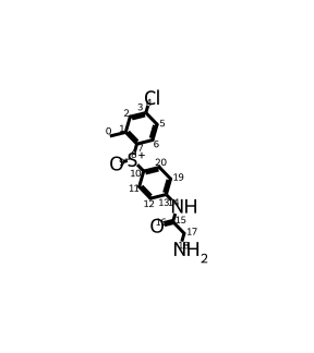 Cc1cc(Cl)ccc1[S+]([O-])c1ccc(NC(=O)CN)cc1